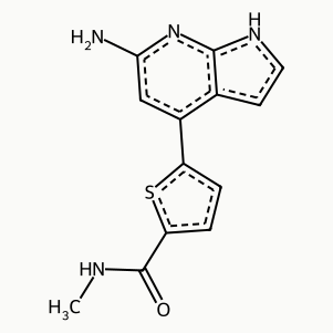 CNC(=O)c1ccc(-c2cc(N)nc3[nH]ccc23)s1